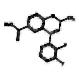 COC(=O)c1ccc2c(c1)C(c1cccc(F)c1F)=CC(C)O2